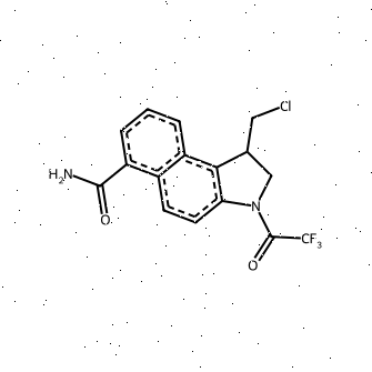 NC(=O)c1cccc2c3c(ccc12)N(C(=O)C(F)(F)F)CC3CCl